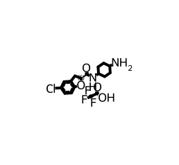 NC1CCC(NC(=O)[C@@H]2Cc3cc(Cl)ccc3O2)CC1.O=C(O)C(F)(F)F